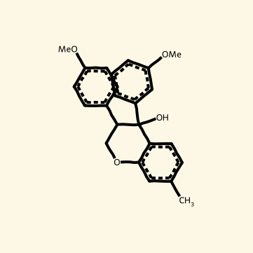 COc1ccc(C2COc3cc(C)ccc3C2(O)c2cccc(OC)c2)cc1